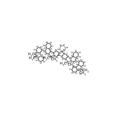 CC1(C)c2cc3c(cc2-c2c1cc(-c1cccc4c1-c1ccccc1[Si]4(C)C)c1ccccc21)C1(CCCCC1)c1cc2c(cc1-3)C(C)(C)c1cc(-c3cccc4c3-c3ccccc3[Si]4(C)C)c3ccccc3c1-2